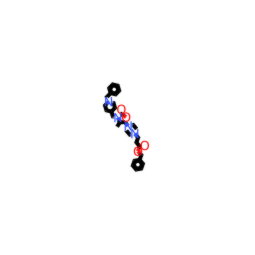 CC1C(N2CCN(CCC(=O)OCc3ccccc3)CC2)OC(=O)N1CC1CCN(Cc2ccccc2)CC1